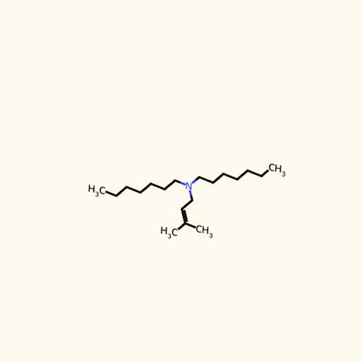 CCCCCCCN(CC=C(C)C)CCCCCCC